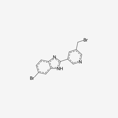 BrCc1cncc(-c2nc3ccc(Br)cc3[nH]2)c1